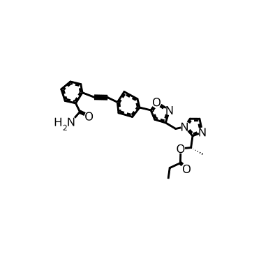 CCC(=O)O[C@@H](C)c1nccn1Cc1cc(-c2ccc(C#Cc3ccccc3C(N)=O)cc2)on1